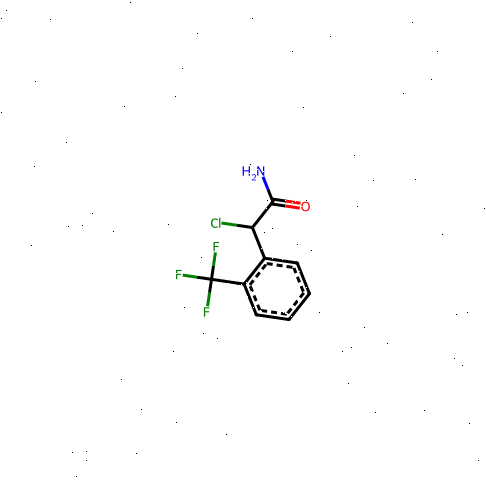 NC(=O)C(Cl)c1ccccc1C(F)(F)F